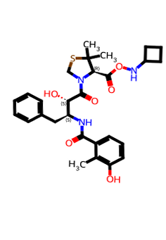 Cc1c(O)cccc1C(=O)N[C@@H](Cc1ccccc1)[C@H](O)C(=O)N1CSC(C)(C)[C@H]1C(=O)ONC1CCC1